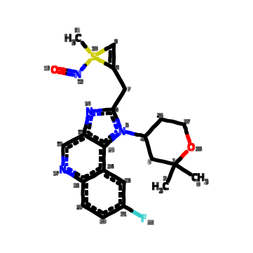 CC1(C)CC(n2c(CC3=CS3(C)N=O)nc3cnc4ccc(F)cc4c32)CCO1